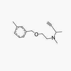 C#CC(C)N(C)CCOCc1cccc(C)c1